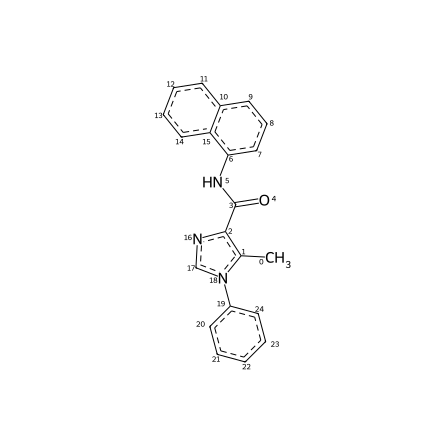 Cc1c(C(=O)Nc2cccc3ccccc23)ncn1-c1ccccc1